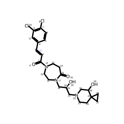 O=C(/C=C/c1ccc(Cl)c(Cl)c1)N1CCC(=O)N(C[C@@H](O)CN2CCC3(CC3)C(O)C2)CC1